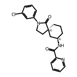 O=C(N[C@@H]1CCC[C@@]2(CCN(c3cccc(Cl)c3)C2=O)C1)c1ccccn1